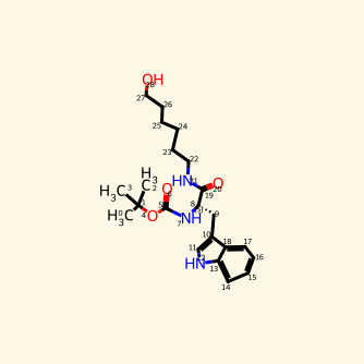 CC(C)(C)OC(=O)N[C@@H](Cc1c[nH]c2ccccc12)C(=O)NCCCCCCO